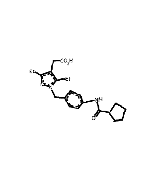 CCc1nn(Cc2ccc(NC(=O)C3CCCC3)cc2)c(CC)c1CC(=O)O